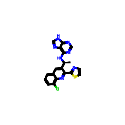 C[C@H](Nc1ncnc2[nH]cnc12)c1cc2cccc(Cl)c2nc1-c1nccs1